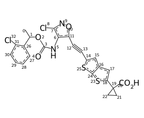 CC(OC(=O)Nc1c(Cl)noc1C#Cc1cc2cc(C3(C(=O)O)CC3)sc2s1)c1ccccc1Cl